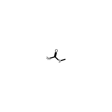 [2H]C(=O)SC